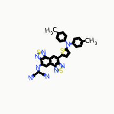 Cc1ccc(N(c2ccc(C)cc2)c2ccc(-c3cc4c(cc(N=C(C#N)C#N)c5nsnc54)c4nsnc34)s2)cc1